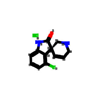 Cl.O=C1Nc2cccc(Cl)c2[C@]12C=CCNC2